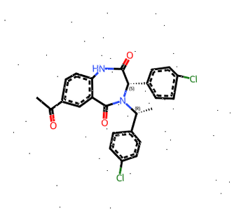 CC(=O)c1ccc2c(c1)C(=O)N([C@H](C)c1ccc(Cl)cc1)[C@@H](c1ccc(Cl)cc1)C(=O)N2